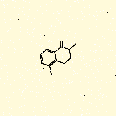 Cc1cccc2c1CCC(C)N2